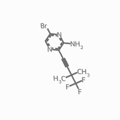 CC(C)(C#Cc1ncc(Br)nc1N)C(F)(F)F